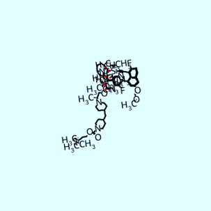 COCOc1cc(-c2ncc3c(N4CC5CCC(C4)N5C(=O)OC(C)(C)C)nc(OC[C@H](C)N4CCC(CC5CCN(C(=O)OCC[Si](C)(C)C)CC5)CC4)nc3c2F)c2c(C#C[Si](C(C)C)(C(C)C)C(C)C)c(F)ccc2c1